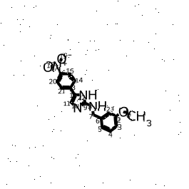 COc1cccc(CNc2ncc(-c3ccc([N+](=O)[O-])cc3)[nH]2)c1